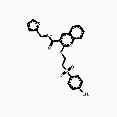 Cc1ccc(S(=O)(=O)CCSc2nc3ccccc3cc2C(=O)NCc2cccs2)cc1